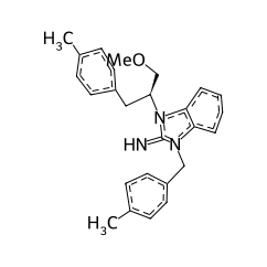 COC[C@H](Cc1ccc(C)cc1)n1c(=N)n(Cc2ccc(C)cc2)c2ccccc21